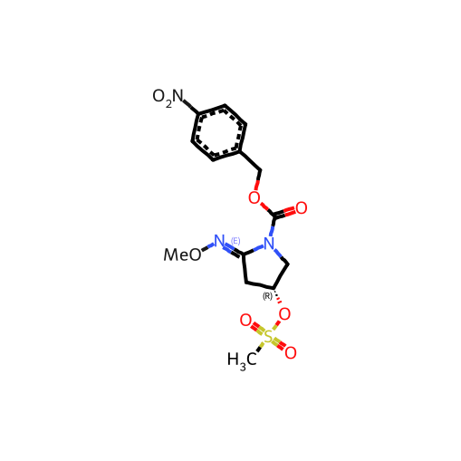 CO/N=C1\C[C@@H](OS(C)(=O)=O)CN1C(=O)OCc1ccc([N+](=O)[O-])cc1